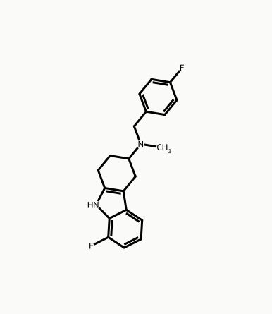 CN(Cc1ccc(F)cc1)C1CCc2[nH]c3c(F)cccc3c2C1